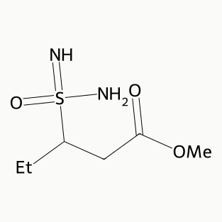 CCC(CC(=O)OC)S(=N)(N)=O